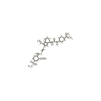 COc1cc(S(C)(=O)=O)ccc1NCC#Cc1cc2c(NC(=O)Nc3ccc(N(C)C)cc3)cccc2n1CC(F)(F)F